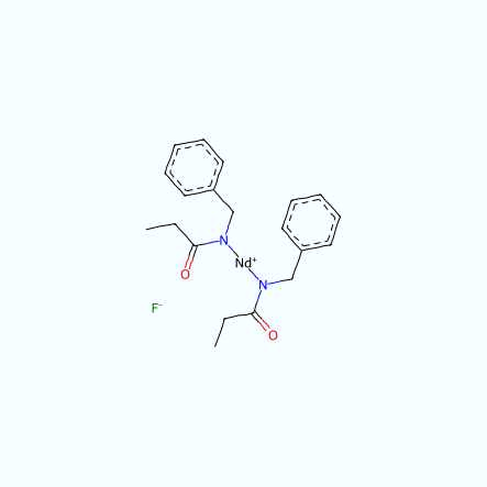 CCC(=O)[N](Cc1ccccc1)[Nd+][N](Cc1ccccc1)C(=O)CC.[F-]